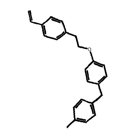 C=Cc1ccc(CCOc2ccc(Cc3ccc(C)cc3)cc2)cc1